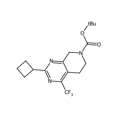 CC(C)(C)OC(=O)N1CCc2c(nc(C3CCC3)nc2C(F)(F)F)C1